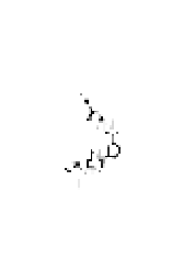 C=CC(=O)Nc1cnc(-c2cccc(C(C)C(=O)Nc3ncc(C#N)s3)c2)cn1